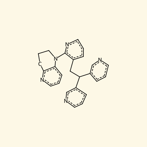 c1cncc(C(Cc2cccnc2N2CCCc3ncccc32)c2cccnc2)c1